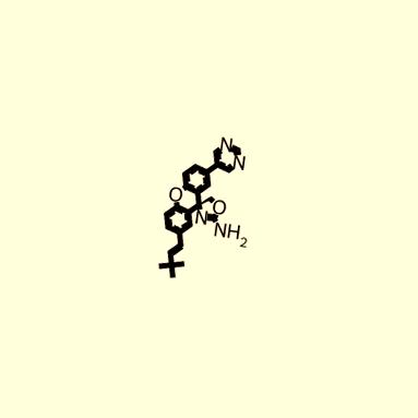 CC(C)(C)C=Cc1ccc2c(c1)[C@]1(COC(N)=N1)c1cc(-c3cncnc3)ccc1O2